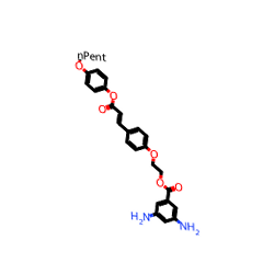 CCCCCOc1ccc(OC(=O)C=Cc2ccc(OCCOC(=O)c3cc(N)cc(N)c3)cc2)cc1